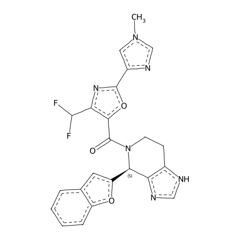 Cn1cnc(-c2nc(C(F)F)c(C(=O)N3CCc4[nH]cnc4[C@H]3c3cc4ccccc4o3)o2)c1